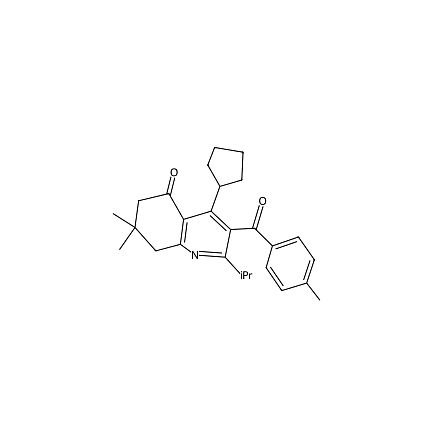 Cc1ccc(C(=O)c2c(C(C)C)nc3c(c2C2CCCC2)C(=O)CC(C)(C)C3)cc1